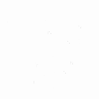 CN1CC(NCc2ccccc2)N(c2nnc(C(F)(F)F)s2)C1=O